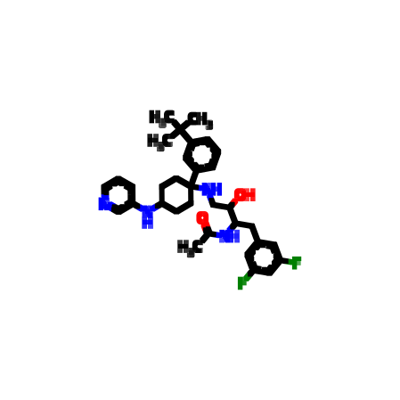 CC(=O)NC(Cc1cc(F)cc(F)c1)C(O)CNC1(c2cccc(C(C)(C)C)c2)CCC(Nc2cccnc2)CC1